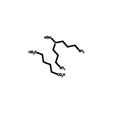 CCCCCCCCP(CCCN)CCCN.O=C(O)CCCCC(=O)O